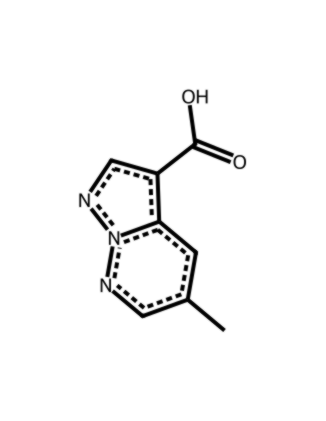 Cc1cnn2ncc(C(=O)O)c2c1